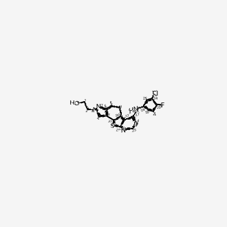 OCCn1cc2c(n1)CCc1c-2sc2ncnc(Nc3ccc(F)c(Cl)c3)c12